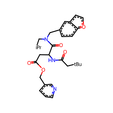 CC(C)CN(Cc1ccc2occc2c1)C(=O)C(CC(=O)OCc1cccnc1)NC(=O)CC(C)(C)C